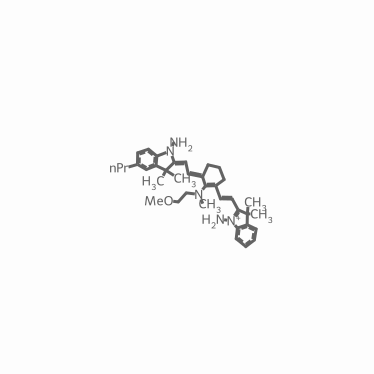 CCCc1ccc2c(c1)C(C)(C)/C(=C\C=C1/CCCC(/C=C/C3=[N+](N)c4ccccc4C3(C)C)=C1N(C)CCOC)N2N